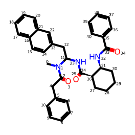 CN(C(=O)Cc1ccccc1)C(Cc1ccc2ccccc2c1)NC(=O)[C@@H]1CCCC[C@@H]1NC(=O)c1ccccc1